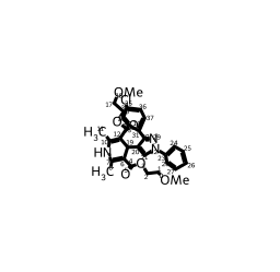 COCCOC(=O)C1=C(C)NC(C)=C(C(=O)OCCOC)C1c1cn(-c2ccccc2)nc1-c1ccc(Cl)cc1